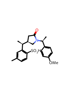 COc1ccc([C@H](C)N2C[C@@H]([C@H](C)c3cc(C)ccc3S(=O)(=O)O)CC2=O)cc1